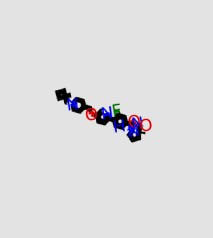 CC1(CN2CCC(COc3ccc(-c4ccc(C(=O)N5CCC[C@@]5(C)C(N)=O)cc4F)nc3)CC2)CCC1